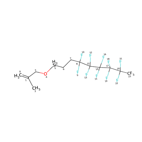 C=C(C)CO[SiH2]CCC(F)(F)C(F)(F)C(F)(F)C(F)(F)C(F)(F)C(F)(F)F